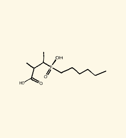 CCCCCCP(=O)(O)C(C)C(C)C(=O)O